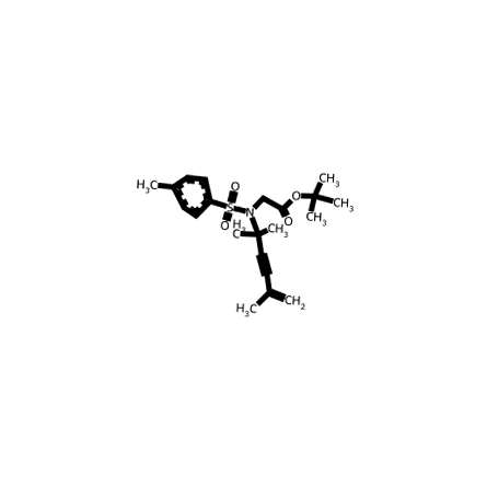 C=C(C)C#CC(C)(C)N(CC(=O)OC(C)(C)C)S(=O)(=O)c1ccc(C)cc1